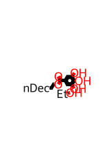 CCCCCCCCCCCCOC(=O)c1cc(O)c(O)c(O)c1.CCO